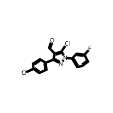 O=Cc1c(-c2ccc(Cl)cc2)nn(-c2cccc(F)c2)c1Cl